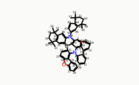 CC(C)(C)c1cc2c3c(c1)N(c1ccccc1-c1ccccc1)c1c(ccc4oc5ccccc5c14)B3c1cc3c(cc1N2c1ccc2c(c1)C(C)(C)CCC2(C)C)C(C)(C)CCC3(C)C